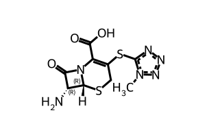 Cn1nnnc1SC1=C(C(=O)O)N2C(=O)[C@@H](N)[C@H]2SC1